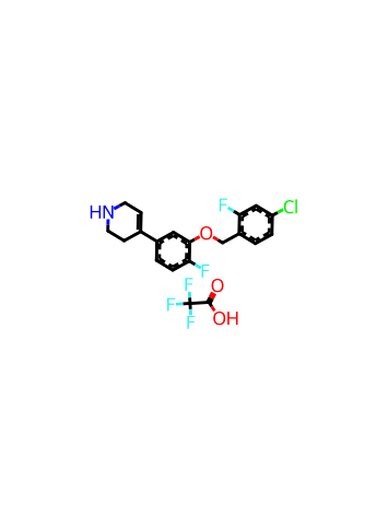 Fc1cc(Cl)ccc1COc1cc(C2=CCNCC2)ccc1F.O=C(O)C(F)(F)F